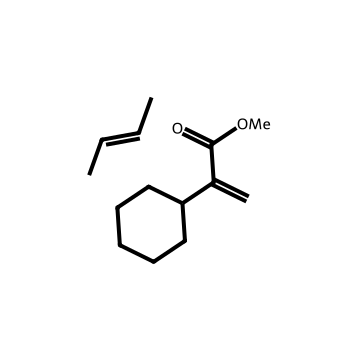 C=C(C(=O)OC)C1CCCCC1.CC=CC